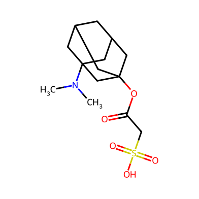 CN(C)C12CC3CC(CC(OC(=O)CS(=O)(=O)O)(C3)C1)C2